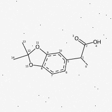 CC(C(=O)O)c1ccc2c(c1)OC(C)(C)O2